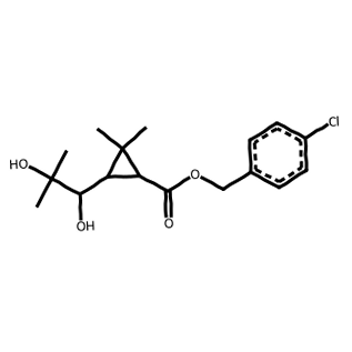 CC(C)(O)C(O)C1C(C(=O)OCc2ccc(Cl)cc2)C1(C)C